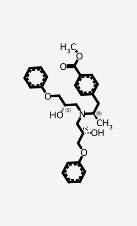 COC(=O)c1ccc(C[C@@H](C)N(C[C@H](O)COc2ccccc2)C[C@H](O)COc2ccccc2)cc1